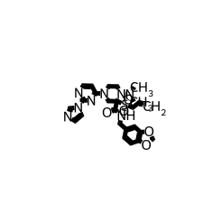 C=CCS(=O)(=O)C1(C(=O)NCc2ccc3c(c2)OCO3)CN(c2ccnc(-n3ccnc3)n2)CCN1N(C)C